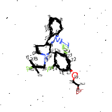 C[C@@H]1Cc2c([nH]c3ccccc23)[C@@H](c2c(F)cc(OCCBr)cc2F)N1CC(C)(C)F